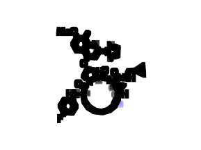 COc1ccc2c(O[C@@H]3C[C@H]4C(=O)N[C@]5(C(=O)NCC6CC6)C[C@H]5/C=C\CCCCC[C@H](Nc5ccc(F)cc5)C(=O)N4C3)cc(-c3nccs3)nc2c1C